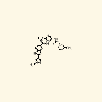 Cc1ncc(NC(=O)CN2CCC[C@H](C)C2)cc1NC(=O)c1cnc2[nH]c(-c3cnn(C)c3)cc2c1